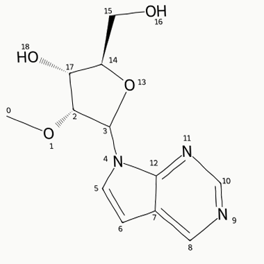 CO[C@H]1C(n2ccc3cncnc32)O[C@H](CO)[C@H]1O